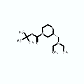 CCN(CC)C[C@@H]1CN(C(=O)OC(C)(C)C)CCO1